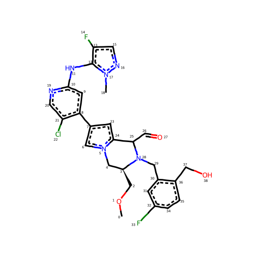 COC[C@H]1Cn2cc(-c3cc(Nc4c(F)cnn4C)ncc3Cl)cc2C(C=O)N1Cc1cc(F)ccc1CO